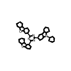 c1ccc(-n2c3ccccc3c3cc(-c4nc(-c5ccc6c(c5)oc5ccccc56)nc(-c5cccc6sc7ccccc7c56)n4)ccc32)cc1